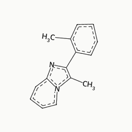 Cc1ccccc1-c1nc2ccccn2c1C